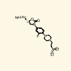 CCN(CC)CCN1CCN(c2ccc(N3C[C@H](CNC(C)=O)OC3=O)cc2F)CC1